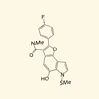 CNC(=O)c1c(-c2ccc(F)cc2)oc2c1cc(O)c1c2ccn1SC